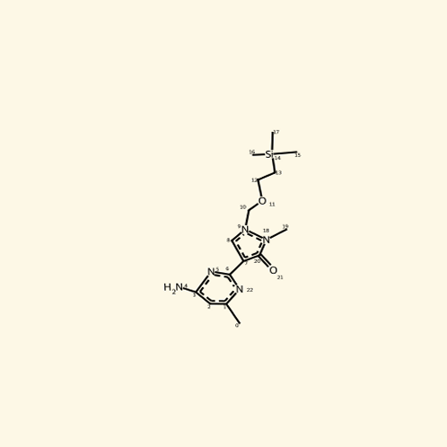 Cc1cc(N)nc(-c2cn(COCC[Si](C)(C)C)n(C)c2=O)n1